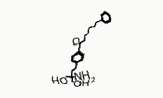 NC(CO)(CO)CCc1ccc(C(=O)CCCCCCc2ccccc2)cc1